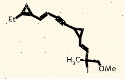 CCC1=C(/C=C/C#CC2CC2/C=C/[C@@](C)(I)COC)C1